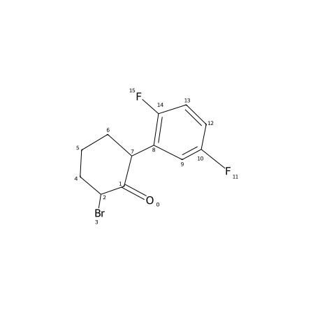 O=C1C(Br)CCCC1c1cc(F)ccc1F